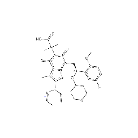 C=NN(/N=C\C)c1sc2c(c1C)c(=O)n(C(C)(C)C(=O)O)c(=O)n2C[C@H](OC1CCOCC1)c1cc(F)ccc1OC